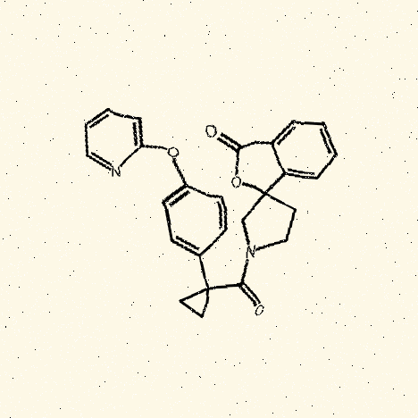 O=C1OC2(CCN(C(=O)C3(c4ccc(Oc5ccccn5)cc4)CC3)C2)c2ccccc21